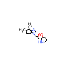 Cc1ccc2c(ncn2CC(=O)C[C@H]2NCCC[C@@H]2O)c1C